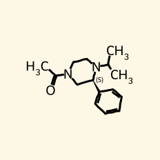 CC(=O)N1CCN(C(C)C)[C@@H](c2ccccc2)C1